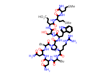 CCC(C)C(NC(=O)C(N)CCCNC(=N)N)C(=O)NC(CC(N)=O)C(=O)NC(CC(N)=O)C(=O)NC(C(=O)N1CCCC1C(=O)NC(Cc1c[nH]c2ccccc12)C(=O)NC(CO)C(=O)NC(CCC(=O)O)C(=O)NC(CCSC)C(=O)NC(CCSC)C(N)=O)C(C)CC